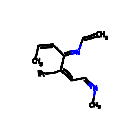 C=C/N=C(\C=C/C)C(=C\C=N/C)/C(C)C